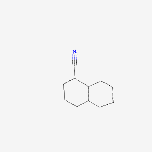 N#CC1CCCC2CCCCC12